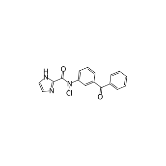 O=C(c1ccccc1)c1cccc(N(Cl)C(=O)c2ncc[nH]2)c1